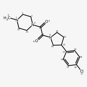 CN1CCN(C(=O)C(=O)N2CCC(c3ccc(Cl)cc3)C2)CC1